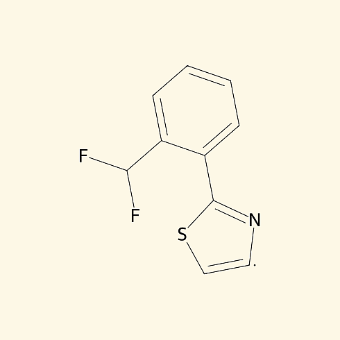 FC(F)c1ccccc1-c1n[c]cs1